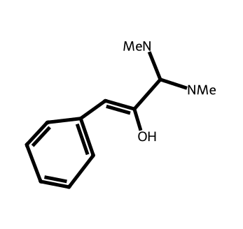 CNC(NC)C(O)=Cc1ccccc1